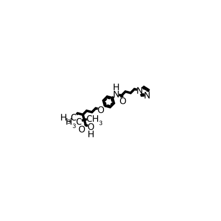 CCC(CCCOc1ccc(NC(=O)CCCn2ccnc2)cc1)C(C)(C)C(=O)O